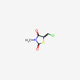 CN1C(=O)SC(=CCl)C1=O